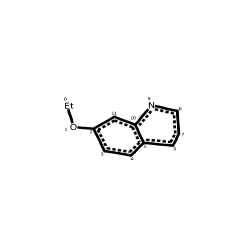 [CH2]COc1ccc2cccnc2c1